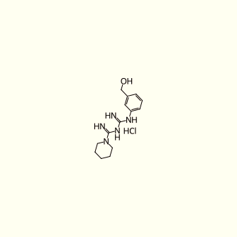 Cl.N=C(NC(=N)N1CCCCC1)Nc1cccc(CO)c1